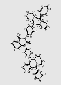 O=c1c2ccccc2n(-c2ccc(-c3c4ccccc4c(-c4ccccc4)c4ccccc34)cc2)c(=O)n1-c1ccc(-c2c3ccccc3c(-c3ccccc3)c3ccccc23)cc1